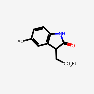 CCOC(=O)CC1C(=O)Nc2ccc(C(C)=O)cc21